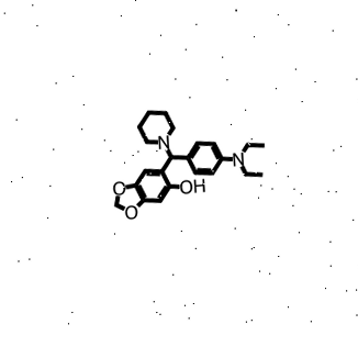 CCN(CC)c1ccc(C(c2cc3c(cc2O)OCO3)N2CCCCC2)cc1